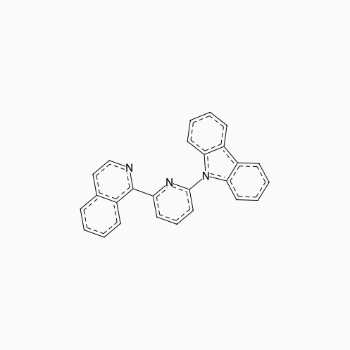 c1cc(-c2nccc3ccccc23)nc(-n2c3ccccc3c3ccccc32)c1